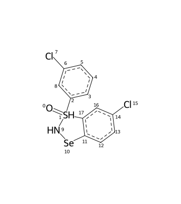 O=[SH]1(c2cccc(Cl)c2)N[Se]c2ccc(Cl)cc21